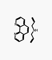 C=CCNCC=C.c1cnc2c(c1)ccc1cccnc12